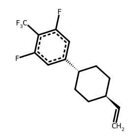 C=C[C@H]1CC[C@H](c2cc(F)c(C(F)(F)F)c(F)c2)CC1